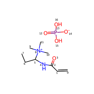 C=CC(=O)NC(CC)[N+](C)(C)C.O=P([O-])(O)O